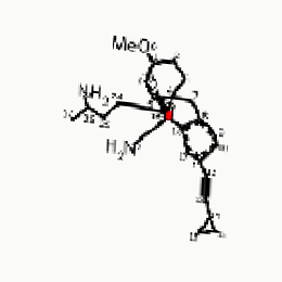 COC1CCC2(CC1)Cc1ccc(C#CC3CC3)cc1C21N=C(N)N(CCC(C)N)C1=O